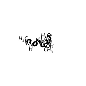 Cc1ccc(Nc2ccc3c(c2)ncn3-c2ccc(C(C)O)c(-c3cnn(CC(C)(F)F)c3C)n2)nn1